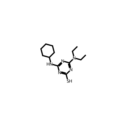 CCN(CC)c1nc(S)nc(NC2CCCCC2)n1